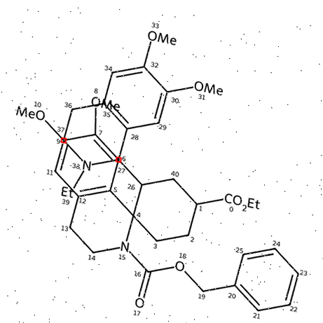 CCOC(=O)C1CCC2(c3cc(OC)c(OC)cc3CCN2C(=O)OCc2ccccc2)C(C2c3cc(OC)c(OC)cc3CCN2CC)C1